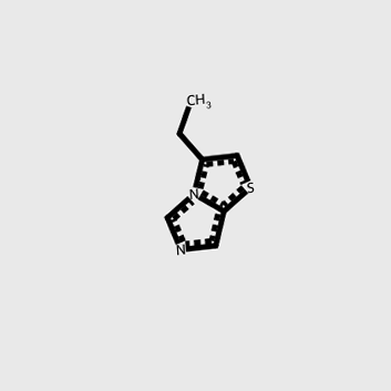 CCc1csc2cncn12